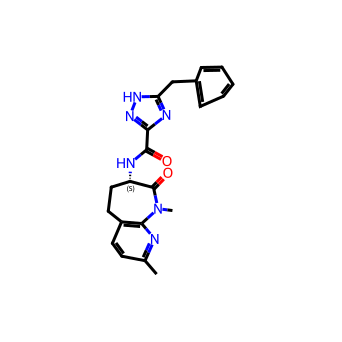 Cc1ccc2c(n1)N(C)C(=O)[C@@H](NC(=O)c1n[nH]c(Cc3ccccc3)n1)CC2